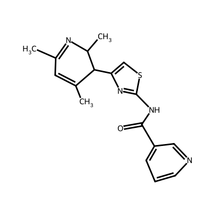 CC1=CC(C)=NC(C)C1c1csc(NC(=O)c2cccnc2)n1